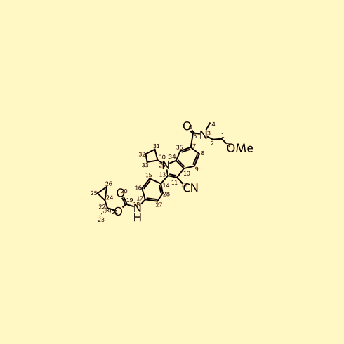 COCCN(C)C(=O)c1ccc2c(C#N)c(-c3ccc(NC(=O)O[C@H](C)C4CC4)cc3)n(C3CCC3)c2c1